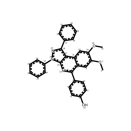 COc1cc2c(-c3ccc(O)cc3)nc3c(c(-c4ccccc4)nn3-c3ccccc3)c2cc1OC